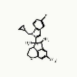 NC1c2cc(C(=O)O)cc3c2C(CCO3)[C@]1(N)c1cc2cc(F)ccc2n1CC1CC1